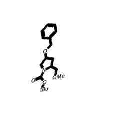 COCC1CC(OCc2ccccc2)CN1C(=O)OC(C)(C)C